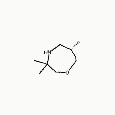 C[C@H]1CNC(C)(C)COC1